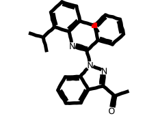 CC(=O)c1nn(C(=Nc2c(C(C)C)cccc2C(C)C)c2ccccc2)c2ccccc12